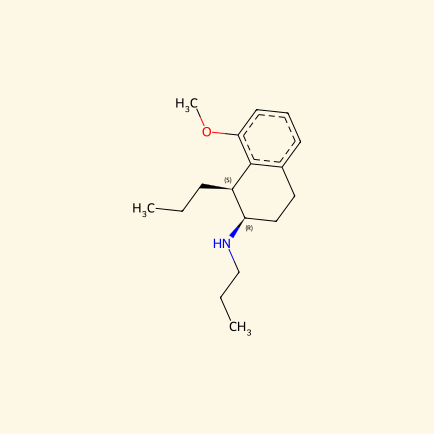 CCCN[C@@H]1CCc2cccc(OC)c2[C@@H]1CCC